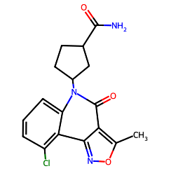 Cc1onc2c1c(=O)n(C1CCC(C(N)=O)C1)c1cccc(Cl)c21